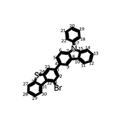 Brc1cc(-c2ccc3c(c2)c2ccccc2n3-c2ccccc2)cc2sc3ccccc3c12